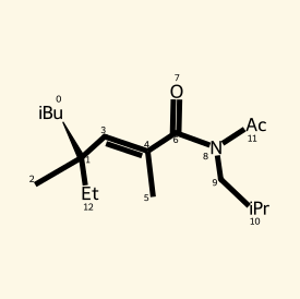 CC[C@H](C)C(C)(/C=C(\C)C(=O)N(CC(C)C)C(C)=O)CC